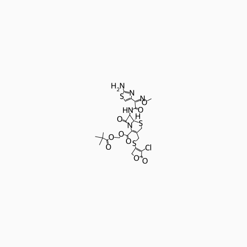 CO/N=C(\C(=O)N[C@@H]1C(=O)N2C(C(=O)OCOC(=O)C(C)(C)C)=C(CSC3=C(Cl)C(=O)OC3)CS[C@H]12)c1csc(N)n1